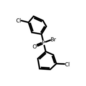 O=P(Br)(c1cccc(Cl)c1)c1cccc(Cl)c1